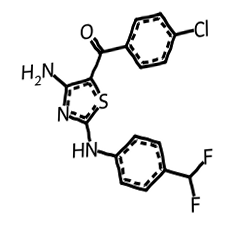 Nc1nc(Nc2ccc(C(F)F)cc2)sc1C(=O)c1ccc(Cl)cc1